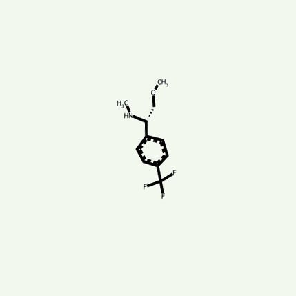 CN[C@H](COC)c1ccc(C(F)(F)F)cc1